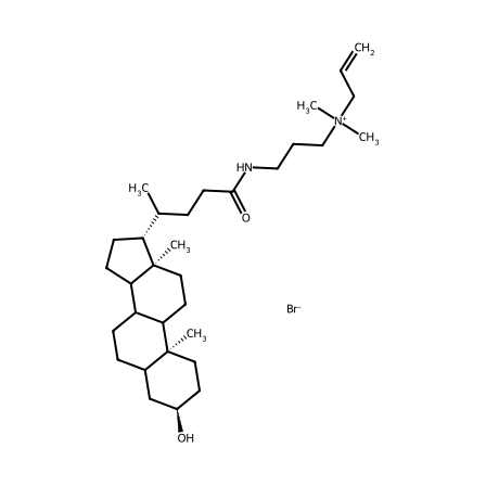 C=CC[N+](C)(C)CCCNC(=O)CCC(C)[C@H]1CCC2C3CCC4C[C@H](O)CC[C@]4(C)C3CC[C@@]21C.[Br-]